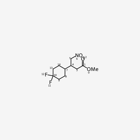 COC(=O)CC(C[N+](=O)[O-])C1CCC(F)(F)CC1